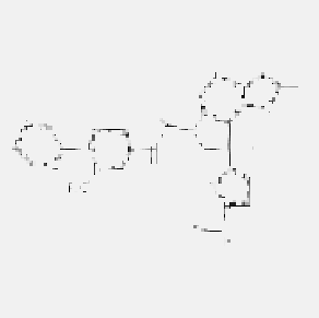 C[C@]1(c2ccn(C(F)F)n2)C[C@@H](C(=O)Nc2cnc(-c3ncccn3)c(C(F)(F)F)c2)c2cnc3cc(F)nn3c21